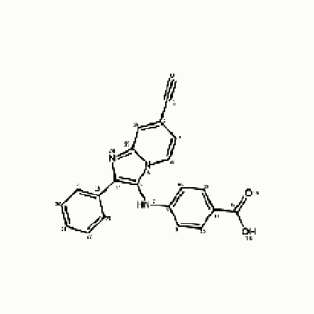 C#Cc1ccn2c(Nc3ccc(C(=O)O)cc3)c(-c3ccccc3)nc2c1